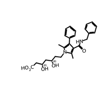 Cc1c(C(=O)NCc2ccccc2)c(-c2ccccc2)c(C)n1CC[C@@H](O)C[C@@H](O)CC(=O)O